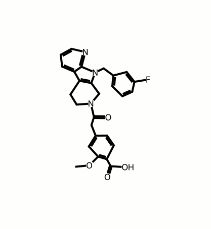 COc1cc(CC(=O)N2CCc3c(n(Cc4cccc(F)c4)c4ncccc34)C2)ccc1C(=O)O